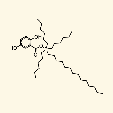 CCCCCCCCCCCCCCP(CCCCCC)(CCCCCC)(CCCCCC)OC(=O)c1cc(O)ccc1O